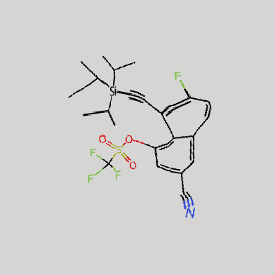 CC(C)[Si](C#Cc1c(F)ccc2cc(C#N)cc(OS(=O)(=O)C(F)(F)F)c12)(C(C)C)C(C)C